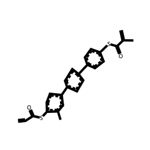 C=CC(=O)Sc1ccc(-c2ccc(-c3ccc(SC(=O)C(=C)C)cc3)cc2)cc1C